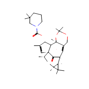 CC1=C[C@]23C(=O)[C@@H](C=C4COC(C)(C)O[C@H]4[C@]2(O)[C@H]1OC(=O)N1CCCC(C)(C)C1)[C@@H]1[C@@H](C[C@H]3C)C1(C)C